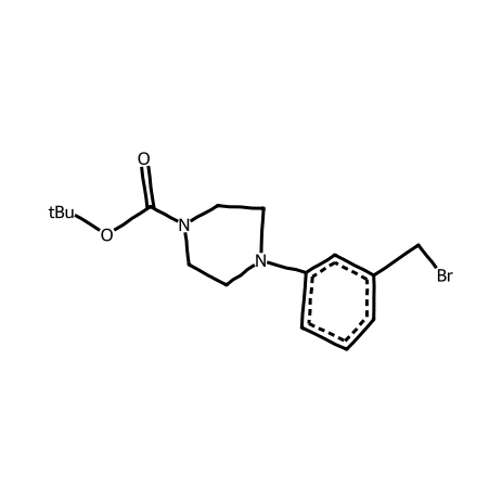 CC(C)(C)OC(=O)N1CCN(c2cccc(CBr)c2)CC1